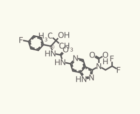 CC(C)(O)[C@@H](NC(=O)Nc1cc2[nH]nc(N(CC(F)F)C(=O)O)c2cn1)c1ccc(F)cc1